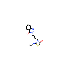 N#C/N=C1\SCC(=O)N1CCCCn1nnc2cc(F)ccc2c1=O